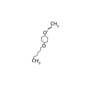 C/C=C/COC1CCC(OCCCCCC)CC1